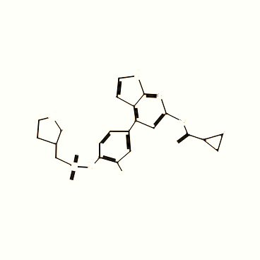 O=C(Nc1cc(-c2ccc(NS(=O)(=O)CC3CCOC3)c(F)c2)c2cc[nH]c2n1)C1CC1